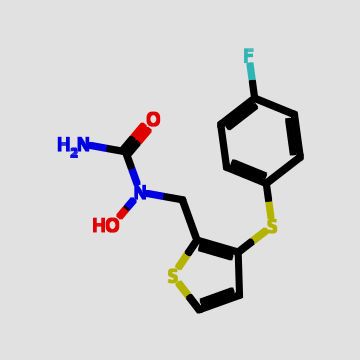 NC(=O)N(O)Cc1sccc1Sc1ccc(F)cc1